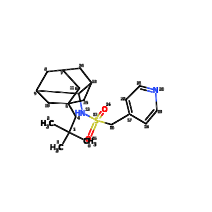 CC(C)(C)CC12CC3CC(C1)C(NS(=O)(=O)Cc1ccncc1)C(C3)C2